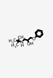 CC(C)(C)NCC(O)COc1cc[c]cc1